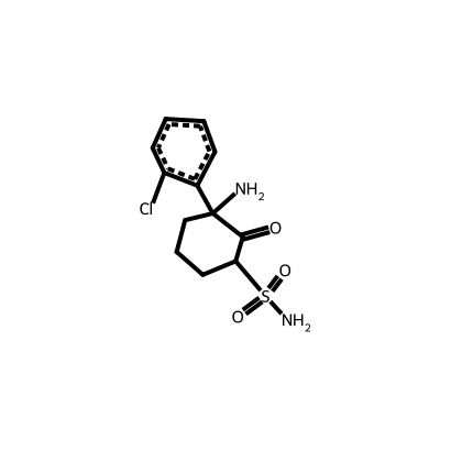 NC1(c2ccccc2Cl)CCCC(S(N)(=O)=O)C1=O